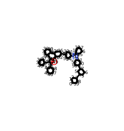 c1ccc(-c2cccc(-c3ccc(N(c4ccccc4)c4ccc(-c5ccc6c7ccccc7c7c(-c8ccccc8)c(-c8ccccc8)oc7c6c5)cc4)cc3)c2)cc1